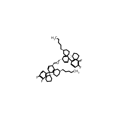 CCCCC[C@H]1CC[C@H](C2([C@]3(c4ccc(F)c(F)c4)C=C[C@H](COC[C@H]4C=C[C@@](c5ccc(F)c(F)c5)(C5([C@H]6CC[C@H](CCCCC)CC6)CCCCC5)C=C4)C=C3)CCCCC2)CC1